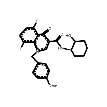 COc1ccc(Cn2cc(C(=O)N[C@@H]3CCCCC3O)c(=O)c3c(F)ccc(F)c32)cc1